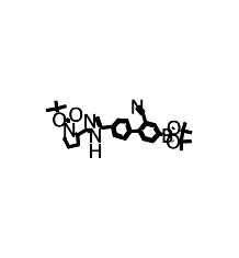 CC(C)(C)OC(=O)N1CCCC1c1ncc(-c2ccc(-c3ccc(B4OC(C)(C)C(C)(C)O4)cc3C#N)cc2)[nH]1